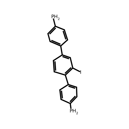 Pc1ccc(-c2ccc(-c3ccc(P)cc3)c(I)c2)cc1